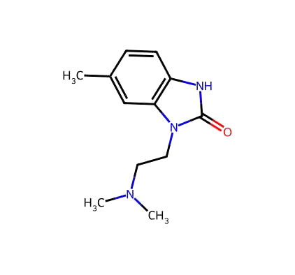 Cc1ccc2[nH]c(=O)n(CCN(C)C)c2c1